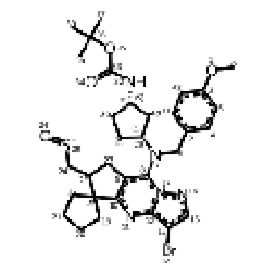 COc1ccc(CN(c2c3c(nc4c(Br)cnn24)C2(CCCC2)C(C[S+]=O)C3)[C@H]2CC[C@H](NC(=O)OC(C)(C)C)C2)cc1